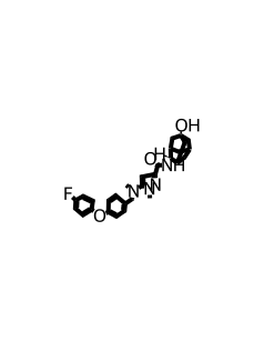 CN(Cc1ccc(Oc2ccc(F)cc2)cc1)c1cc(C(=O)N[C@H]2C3CC4CC2C[C@](O)(C4)C3)nn1C